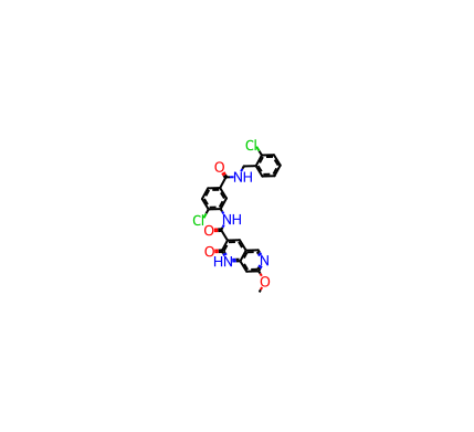 COc1cc2[nH]c(=O)c(C(=O)Nc3cc(C(=O)NCc4ccccc4Cl)ccc3Cl)cc2cn1